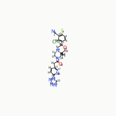 N#Cc1c(F)ccc([C@@H]2CN3CCN(C(=O)Cc4ccc(-n5cnnn5)nc4)C[C@H]3CO2)c1Cl